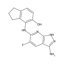 Nc1n[nH]c2nc(Nc3c(O)ccc4c3CCC4)c(F)cc12